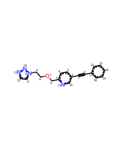 C(#Cc1ccc(COCCn2ccnn2)nc1)c1ccccc1